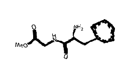 COC(=O)CNC(=O)[C@@H](N)Cc1ccccc1